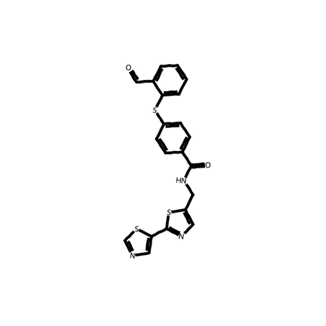 O=Cc1ccccc1Sc1ccc(C(=O)NCc2cnc(-c3cncs3)s2)cc1